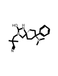 CN(C)[C@]1(c2ccccc2)CC[C@]2(CC1)CN(CC(C)(C)C#N)C(O)N2